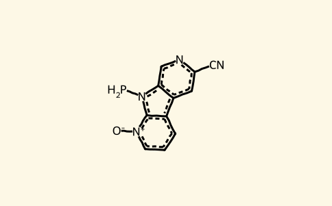 N#Cc1cc2c3ccc[n+]([O-])c3n(P)c2cn1